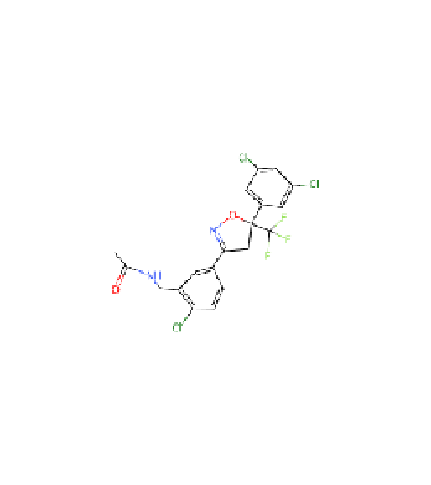 CC(=O)NCc1cc(C2=NOC(c3cc(Cl)cc(Cl)c3)(C(F)(F)F)C2)ccc1Cl